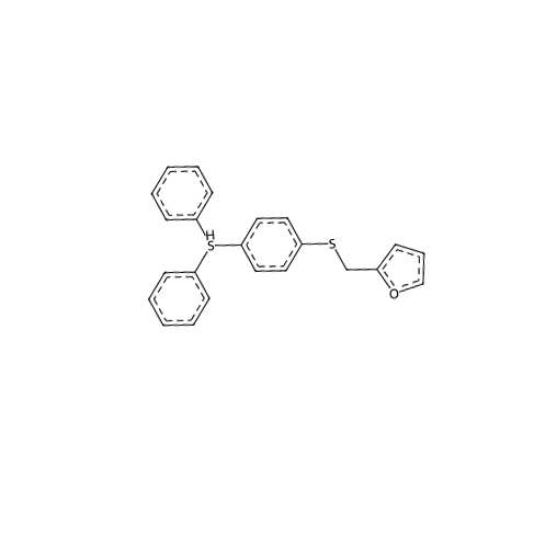 c1ccc([SH](c2ccccc2)c2ccc(SCc3ccco3)cc2)cc1